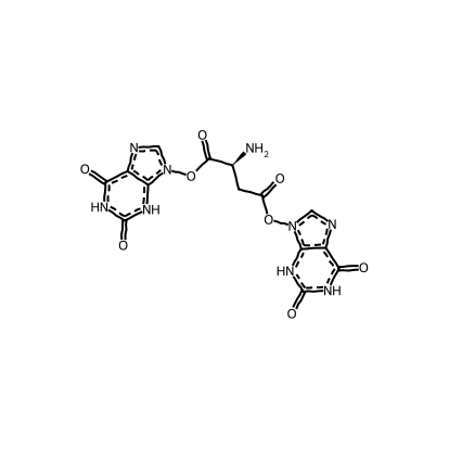 N[C@@H](CC(=O)On1cnc2c(=O)[nH]c(=O)[nH]c21)C(=O)On1cnc2c(=O)[nH]c(=O)[nH]c21